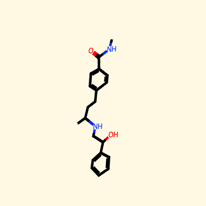 CNC(=O)c1ccc(CCC(C)NCC(O)c2ccccc2)cc1